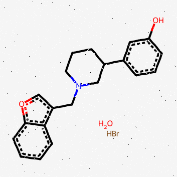 Br.O.Oc1cccc(C2CCCN(Cc3coc4ccccc34)C2)c1